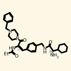 CCC(=O)N/C(=C/c1ccc(CNC(=O)[C@@H](N)C2CCCCC2)cc1)C(=O)N1CCN(Cc2ccccc2)CC1